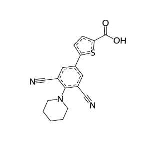 N#Cc1cc(-c2ccc(C(=O)O)s2)cc(C#N)c1N1CCCCC1